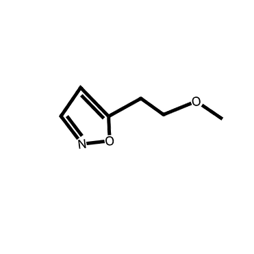 COCCc1ccno1